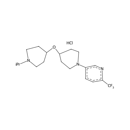 CC(C)N1CCC(OC2CCN(c3ccc(C(F)(F)F)nc3)CC2)CC1.Cl